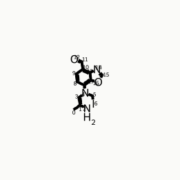 C/C(N)=C/N(CI)c1ccc(C=O)c2ncoc12